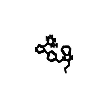 CCCc1nc2ccccc2n1Cc1ccc(-c2cscc2-c2nnn[nH]2)cc1